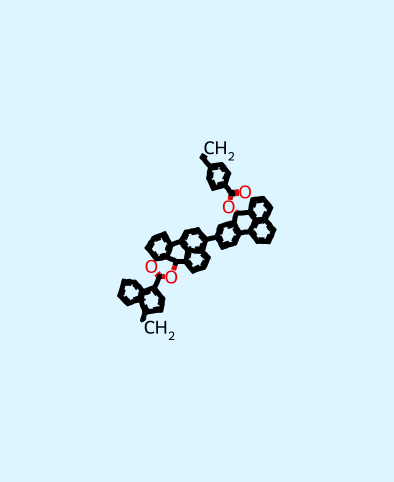 C=Cc1ccc(C(=O)OC2c3cc(-c4ccc5c6c(cccc46)C(OC(=O)c4ccc(C=C)c6ccccc46)c4ccccc4-5)ccc3-c3cccc4cccc2c34)cc1